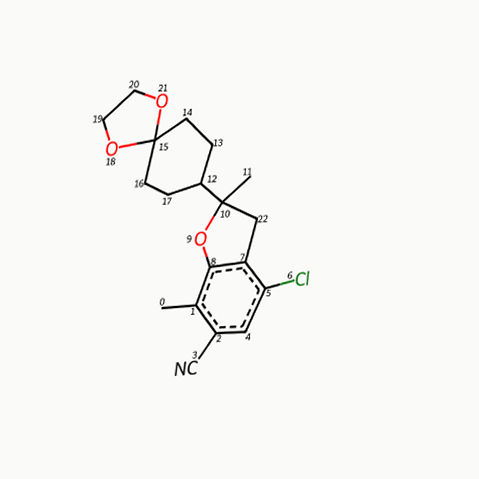 Cc1c(C#N)cc(Cl)c2c1OC(C)(C1CCC3(CC1)OCCO3)C2